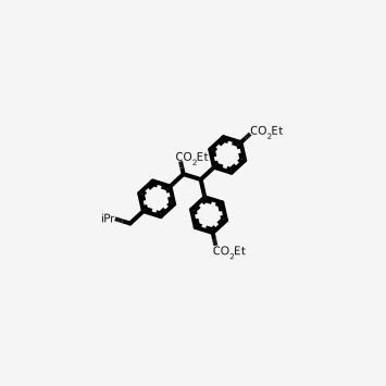 CCOC(=O)c1ccc(C(c2ccc(C(=O)OCC)cc2)C(C(=O)OCC)c2ccc(CC(C)C)cc2)cc1